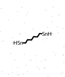 [SnH][CH2]CCCC[CH2][SnH]